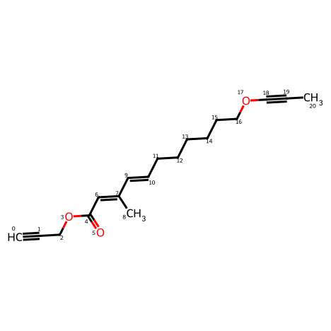 C#CCOC(=O)/C=C(C)/C=C/CCCCCCOC#CC